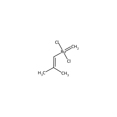 [CH2]=[Ru]([Cl])([Cl])[CH]=C(C)C